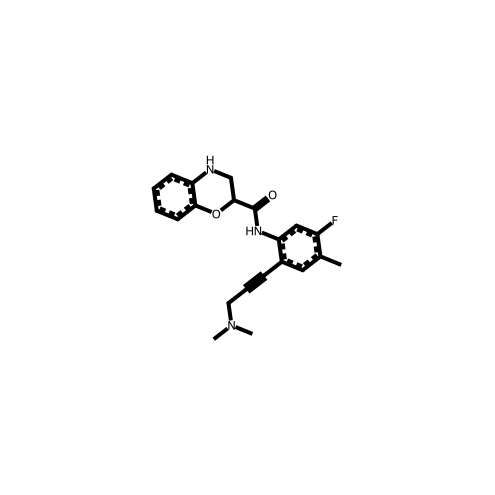 Cc1cc(C#CCN(C)C)c(NC(=O)C2CNc3ccccc3O2)cc1F